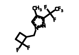 Cc1cn(CC2CCC2(F)F)nc1C(F)(F)C(F)(F)F